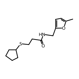 Cc1ccc(CNC(=O)CCSC2CCCC2)o1